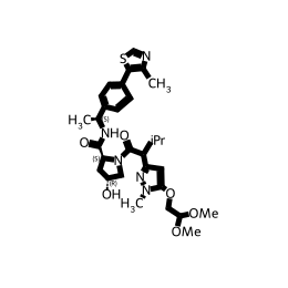 COC(COc1cc(C(C(=O)N2C[C@H](O)C[C@H]2C(=O)N[C@@H](C)c2ccc(-c3scnc3C)cc2)C(C)C)nn1C)OC